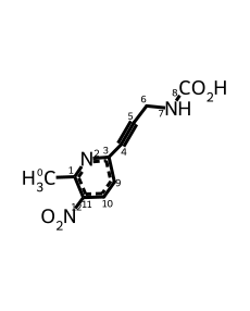 Cc1nc(C#CCNC(=O)O)ccc1[N+](=O)[O-]